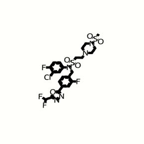 CS(=O)(=O)N1CCN(CCS(=O)(=O)N(Cc2ccc(-c3nnc(C(F)F)o3)cc2F)c2ccc(F)c(Cl)c2)CC1